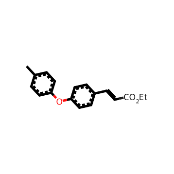 CCOC(=O)C=Cc1ccc(Oc2ccc(C)cc2)cc1